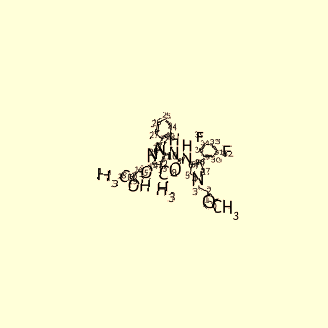 COCCN1C[C@@H](NC(=O)Nc2c(C)c(OC[C@@H](C)O)nn2-c2ccccc2)[C@H](c2cc(F)cc(F)c2)C1